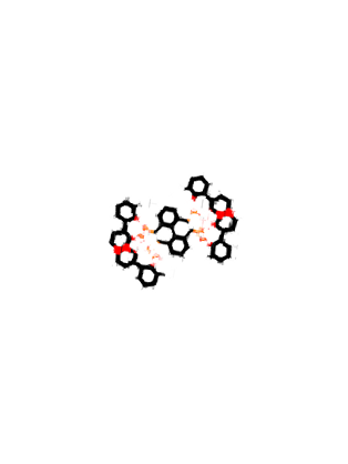 Cc1cccc2c1op(Cc1cccc(Cp3oc4c(C)cccc4c4cccc(C)c4o3)c1-c1c(Cp3oc4c(C)cccc4c4cccc(C)c4o3)cccc1Cp1oc3c(C)cccc3c3cccc(C)c3o1)oc1c(C)cccc12